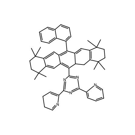 CC1(C)CCC(C)(C)C2=C1C=C1C(c3cccc4ccccc34)=c3cc4c(cc3=C(c3nc(C5=CCCC=N5)nc(-c5ccccn5)n3)C1C2)C(C)(C)CCC4(C)C